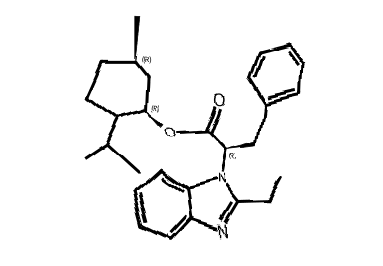 CCc1nc2ccccc2n1[C@H](Cc1ccccc1)C(=O)O[C@@H]1C[C@H](C)CCC1C(C)C